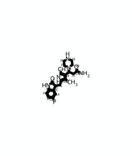 Cc1[nH]c(CC2C(=O)Nc3ccc(F)cc32)c(C)c1C(CC(N)=O)N1CCNCC1